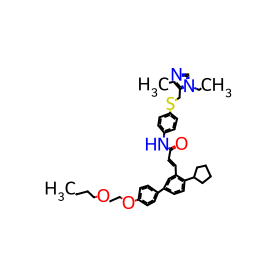 CCCCOCCOc1ccc(-c2ccc(C3CCCC3)c(/C=C/C(=O)Nc3ccc(SCc4c(C)ncn4CC)cc3)c2)cc1